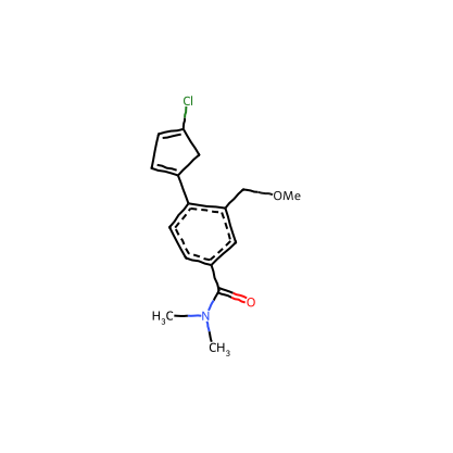 COCc1cc(C(=O)N(C)C)ccc1C1=CC=C(Cl)C1